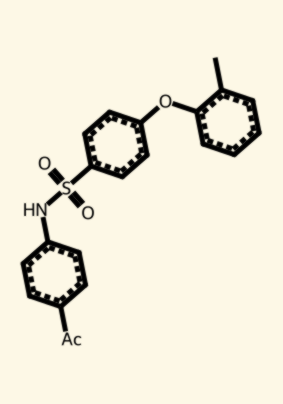 CC(=O)c1ccc(NS(=O)(=O)c2ccc(Oc3ccccc3C)cc2)cc1